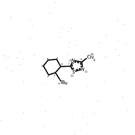 CCC(C)C1CCCCC1c1nc(C)ns1